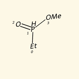 [CH2]C[PH](=O)OC